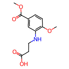 COC(=O)c1ccc(OC)c(NCCC(=O)O)c1